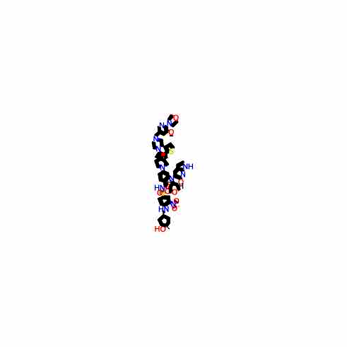 COc1cc(CN2CCN(C3CC4(CCN(c5ccc(C(=O)NS(=O)(=O)c6ccc(NC[C@H]7CC[C@](C)(O)CC7)c([N+](=O)[O-])c6)c(N6c7cc8cc[nH]c8nc7O[C@H]7COCC[C@@H]76)c5)CC4)C3C)[C@H](c3ccsc3C(C)C)C2)cnc1N1CCOCC1